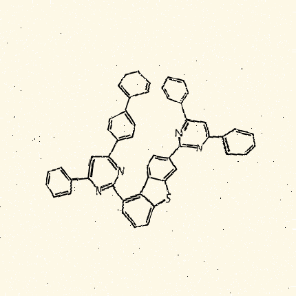 C1=CC(c2ccc(-c3cc(-c4ccccc4)nc(-c4cccc5sc6cc(-c7nc(-c8ccccc8)cc(-c8ccccc8)n7)ccc6c45)n3)cc2)=CCC1